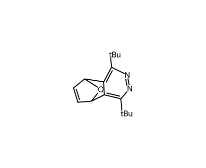 CC(C)(C)c1nnc(C(C)(C)C)c2c1C1C=CC2O1